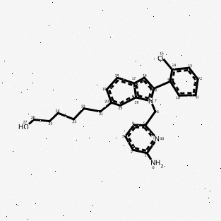 Nc1cccc(Cn2c(-c3ccccc3Cl)cc3ccc(CCCCCCO)cc32)n1